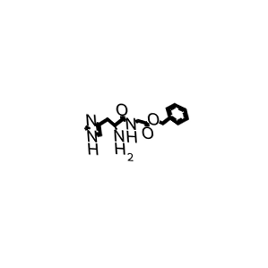 N[C@@H](Cc1c[nH]cn1)C(=O)NCC(=O)OCc1ccccc1